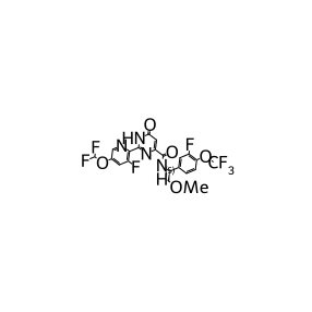 COC[C@@H](NC(=O)c1cc(=O)[nH]c(-c2ncc(OC(F)F)cc2F)n1)c1ccc(OC(F)(F)F)c(F)c1